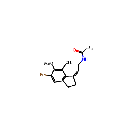 COc1c(Br)cc2c(c1C)/C(=C\CNC(=O)C(F)(F)F)CC2